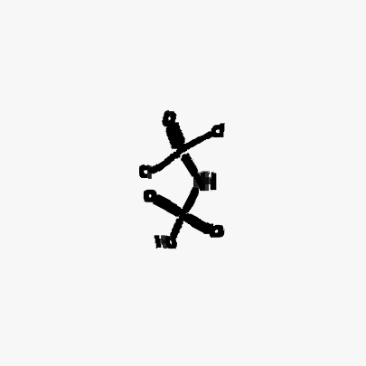 O=P(Cl)(Cl)NS(=O)(=O)O